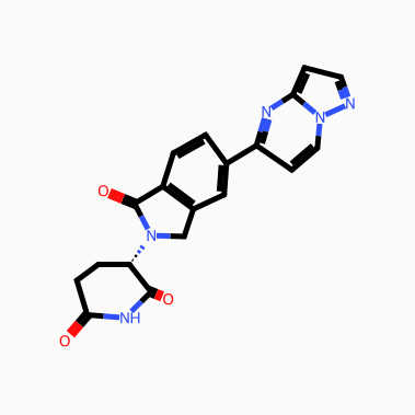 O=C1CC[C@H](N2Cc3cc(-c4ccn5nccc5n4)ccc3C2=O)C(=O)N1